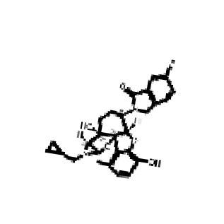 Cc1ccc(O)c2c1[C@]13CC4[C@@H](N4CC4CC4)[C@]1(O)CC[C@@H](N1Cc4ccc(F)cc4C1=O)[C@@H]3O2